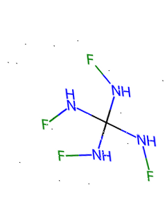 FNC(NF)(NF)NF